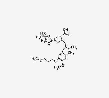 COCCCOc1cc(C[C@@H](CC2CN(C(=O)OC(C)(C)C)CC2C(=O)O)C(C)C)ccc1OC